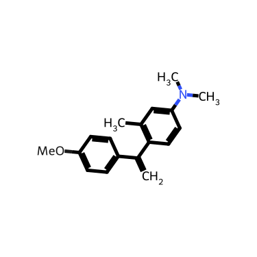 C=C(c1ccc(OC)cc1)c1ccc(N(C)C)cc1C